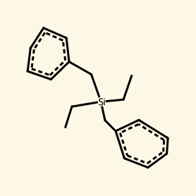 CC[Si](CC)(Cc1ccccc1)Cc1ccccc1